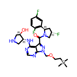 C[Si](C)(C)CCOCn1nc(C(=O)N2C[C@@H](F)C[C@@H]2c2cc(F)ccc2F)c2c(N[C@@H]3CNC[C@H]3O)ncnc21